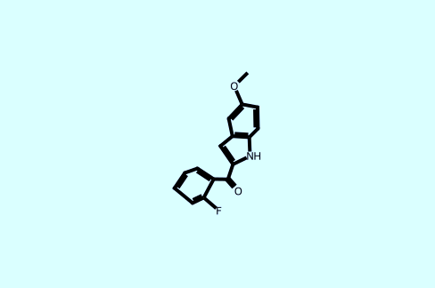 COc1ccc2[nH]c(C(=O)c3ccccc3F)cc2c1